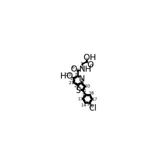 O=C(O)CNC(=O)c1nc2cc(-c3ccc(Cl)cc3)sc2cc1O